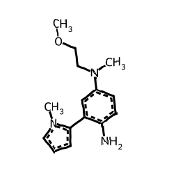 COCCN(C)c1ccc(N)c(-c2cccn2C)c1